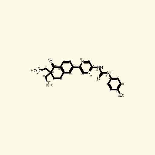 CCc1ccc(NC(=O)Nc2cnc(-c3ccc4c(c3)CCC(CC(=O)O)(CC(F)(F)F)C4=O)cn2)cc1